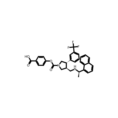 C[C@@H](NC[C@H]1CN(C(=O)Oc2ccc(C(=O)O)cc2)C[C@@H]1c1cccc(C(F)(F)F)c1)c1cccc2ccccc12